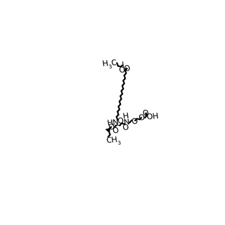 CCCC(I)OC(=O)CCCCCCCCCCCCCCCCCCC(=O)N[C@@H](CCC(=O)NCCOCCOCC(=O)O)C(=O)OC1CC1CCC